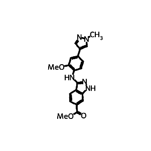 COC(=O)c1ccc2c(Nc3ccc(-c4cnn(C)c4)cc3OC)n[nH]c2c1